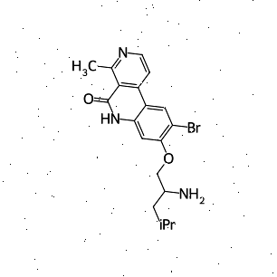 Cc1nccc2c1c(=O)[nH]c1cc(OCC(N)CC(C)C)c(Br)cc12